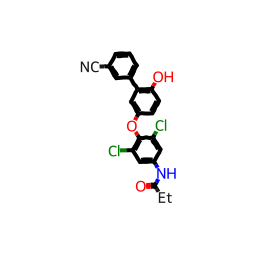 CCC(=O)Nc1cc(Cl)c(Oc2ccc(O)c(-c3cccc(C#N)c3)c2)c(Cl)c1